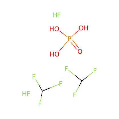 F.F.FC(F)F.FC(F)F.O=P(O)(O)O